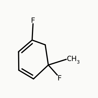 CC1(F)C=CC=C(F)C1